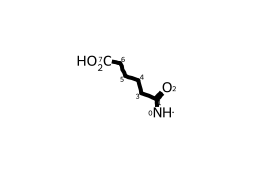 [NH]C(=O)CCCCC(=O)O